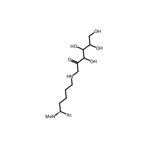 CN[C@@H](CCCCNCC(=O)C(O)C(O)C(O)CO)C(C)=O